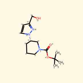 CC(C)(C)OC(=O)N1CCC[C@H](n2ccc(CO)n2)C1